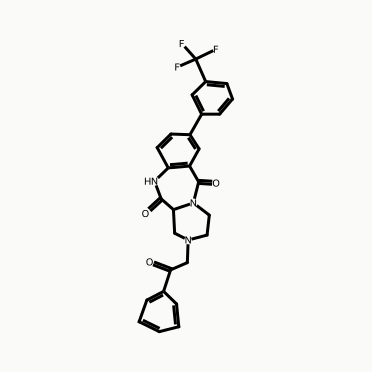 O=C(CN1CCN2C(=O)c3cc(-c4cccc(C(F)(F)F)c4)ccc3NC(=O)C2C1)c1ccccc1